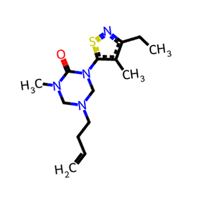 C=CCCN1CN(C)C(=O)N(c2snc(CC)c2C)C1